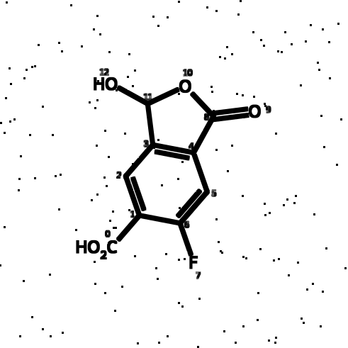 O=C(O)c1cc2c(cc1F)C(=O)OC2O